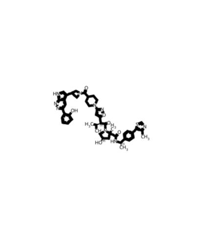 Cc1ncsc1-c1ccc([C@H](C)NC(=O)C2(C)C[C@@H](O)CN2C(=O)[C@H](c2cc(N3CCC(C(=O)N4CC(c5c[nH]c6nnc(-c7ccccc7O)cc56)C4)CC3)no2)C(C)C)cc1